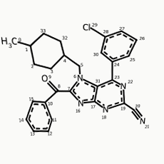 CC1CCC(Cn2c(C(=O)c3ccccc3)nc3nc(C#N)nc(-c4cccc(Cl)c4)c32)CC1